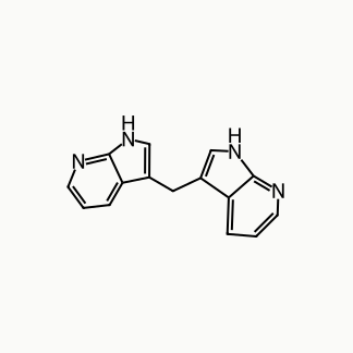 c1cnc2[nH]cc(Cc3c[nH]c4ncccc34)c2c1